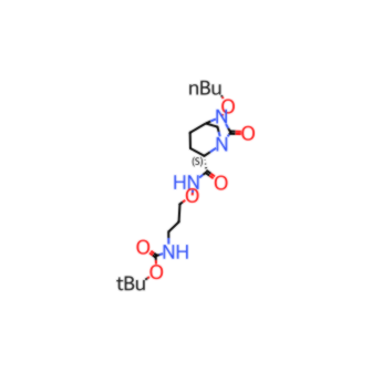 CCCCON1C(=O)N2CC1CC[C@H]2C(=O)NOCCCNC(=O)OC(C)(C)C